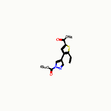 C=Cc1sc(C(=O)OC)cc1-c1cnn(C(=O)OCC(C)C)c1